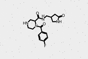 O=C1CC(CNC(=O)C2CNCCN2C(=O)c2ccc(F)cc2)CN1